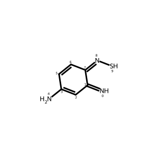 N=C1C=C(N)C=C/C1=N/S